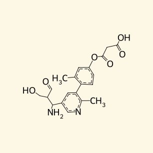 Cc1cc(OC(=O)CC(=O)O)ccc1-c1cc(C(N)C(C=O)CO)cnc1C